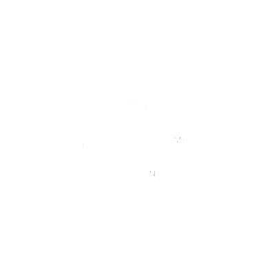 COc1c([N+](=O)[O-])cc(C(C)(C)C)cc1S(=O)(=O)Cl